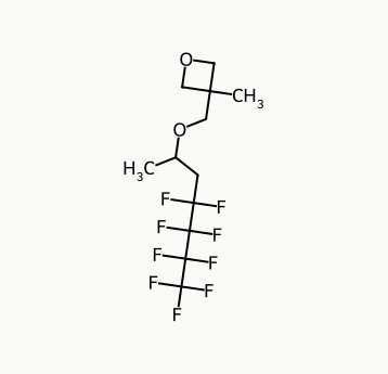 CC(CC(F)(F)C(F)(F)C(F)(F)C(F)(F)F)OCC1(C)COC1